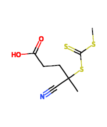 CSC(=S)SC(C)(C#N)CCC(=O)O